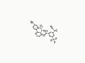 CC(NC(=O)c1cc(C(F)(F)F)cc(C2(C#N)CC2)c1)c1nccnc1-c1ccc(Br)cn1